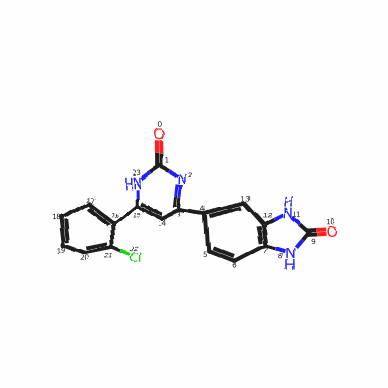 O=c1nc(-c2ccc3[nH]c(=O)[nH]c3c2)cc(-c2ccccc2Cl)[nH]1